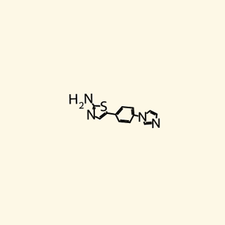 Nc1ncc(-c2ccc(-n3ccnc3)cc2)s1